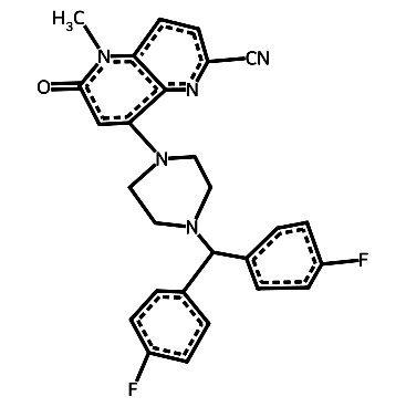 Cn1c(=O)cc(N2CCN(C(c3ccc(F)cc3)c3ccc(F)cc3)CC2)c2nc(C#N)ccc21